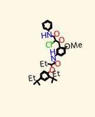 CCC(Oc1ccc(C(C)(C)CC)cc1C(C)(C)CC)C(=O)Nc1ccc(OC)c(C(=O)C(Cl)C(=O)Nc2ccccc2)c1